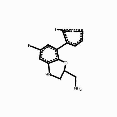 NCC1CNc2cc(F)cc(-c3ccccc3F)c2O1